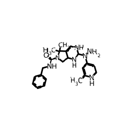 CC1=CC(N(N)C2NC=C3C(CN(C(=O)NCc4ccccc4)C3(C)C)N2)=CCN1